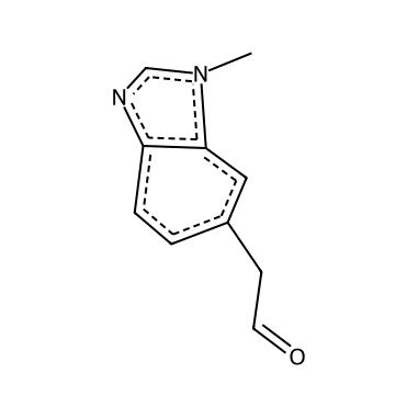 Cn1cnc2ccc(CC=O)cc21